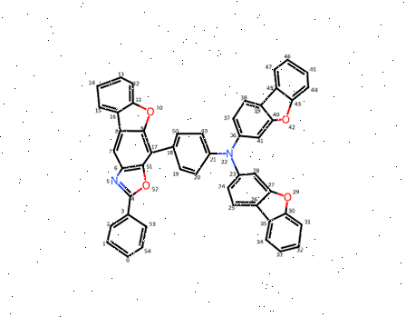 c1ccc(-c2nc3cc4c(oc5ccccc54)c(-c4ccc(N(c5ccc6c(c5)oc5ccccc56)c5ccc6c(c5)oc5ccccc56)cc4)c3o2)cc1